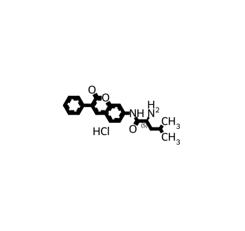 CC(C)C[C@H](N)C(=O)Nc1ccc2cc(-c3ccccc3)c(=O)oc2c1.Cl